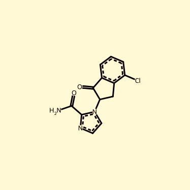 NC(=O)c1nccn1C1Cc2c(Cl)cccc2C1=O